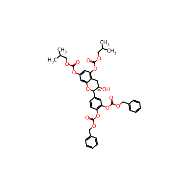 CC(C)COC(=O)Oc1cc(OC(=O)OCC(C)C)c2c(c1)OC(c1ccc(OC(=O)OCc3ccccc3)c(OC(=O)OCc3ccccc3)c1)[C@H](O)C2